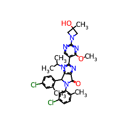 COc1nc(N2CC(C)(O)C2)ncc1-c1nc2c(n1C(C)C)C(c1ccc(Cl)cc1C)N(c1cc(Cl)ccc1C)C2=O